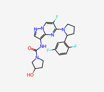 O=C(Nc1cnn2cc(F)c(N3CCCC3c3cc(F)ccc3F)nc12)N1CCC(O)C1